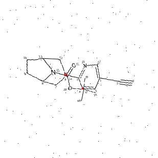 C#Cc1ccc(N2CC3CCC(C2)N3C(=O)OC(C)(C)C)nc1